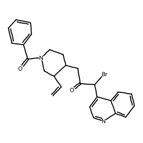 C=CC1CN(C(=O)c2ccccc2)CCC1CC(=O)C(Br)c1ccnc2ccccc12